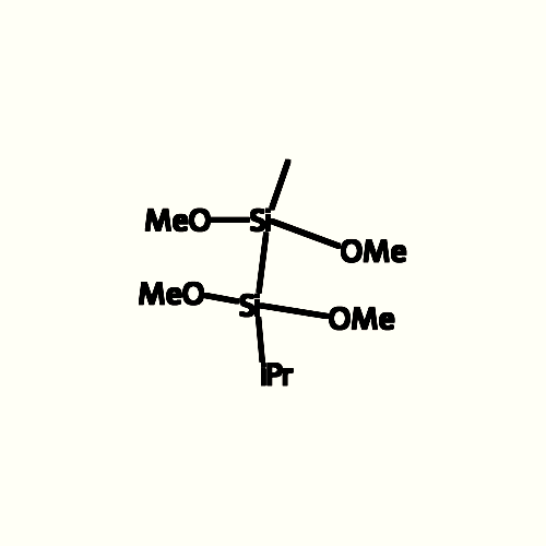 CO[Si](C)(OC)[Si](OC)(OC)C(C)C